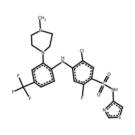 CN1CCN(c2cc(C(F)(F)F)ccc2Nc2cc(F)c(S(=O)(=O)Nc3cscn3)cc2Cl)CC1